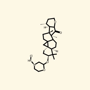 C[C@@H]1CCOC2C(=O)[C@@]3(C)C4CC[C@H]5C(C)(C)[C@@H](OC6CN(PCl)CCO6)CC[C@@]56CC46CC[C@]3(C)[C@H]21